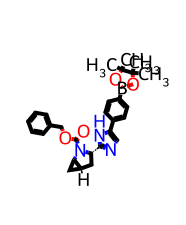 CC1(C)OB(c2ccc(-c3cnc([C@@H]4C[C@H]5CC5N4C(=O)OCc4ccccc4)[nH]3)cc2)OC1(C)C